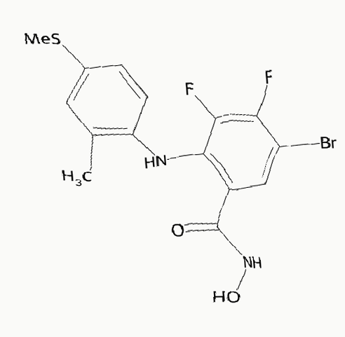 CSc1ccc(Nc2c(C(=O)NO)cc(Br)c(F)c2F)c(C)c1